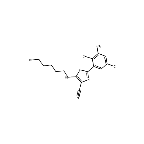 Cc1cc(Cl)cc(-c2nc(C#N)c(NCCCCCO)o2)c1Cl